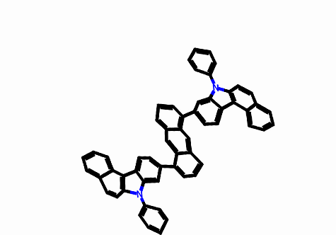 c1ccc(-n2c3cc(-c4cccc5cc6c(-c7ccc8c9c%10ccccc%10ccc9n(-c9ccccc9)c8c7)cccc6cc45)ccc3c3c4ccccc4ccc32)cc1